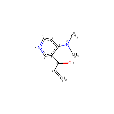 C=CC(=O)c1cnccc1N(C)C